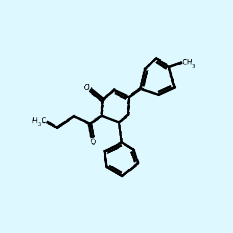 CCCC(=O)C1C(=O)C=C(c2ccc(C)cc2)CC1c1ccccc1